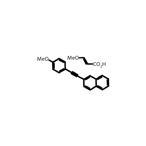 CO/C=C/C(=O)O.COc1ccc(C#Cc2ccc3ccccc3c2)cc1